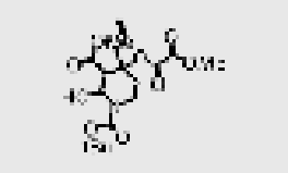 C=CCC1(OC(=O)C(=O)OC)CCN(C(=O)OC(C)(C)C)C(O)C1C(=O)OC